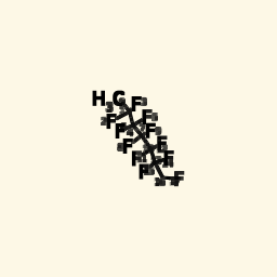 CC(F)(F)C(F)(F)C(F)(F)C(F)(F)C(F)(F)CF